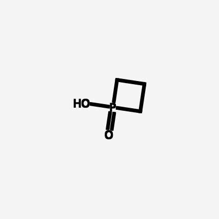 O=P1(O)CCC1